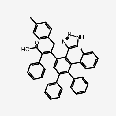 Cc1ccc(CC(=C(C(=O)O)c2ccccc2)c2cc(-c3ccccc3)c(-c3ccccc3)c(-c3ccccc3C)c2-c2c[nH]nn2)cc1